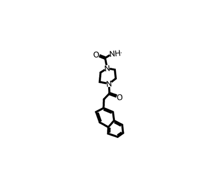 [NH]C(=O)N1CCN(C(=O)Cc2ccc3ccccc3c2)CC1